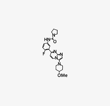 COC1CCN(c2cnc3nc(-c4cc(NC(=O)N5CCCC5)ccc4F)ccn23)CC1